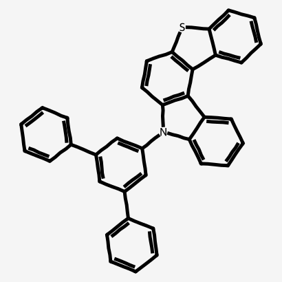 c1ccc(-c2cc(-c3ccccc3)cc(-n3c4ccccc4c4c5c(ccc43)sc3ccccc35)c2)cc1